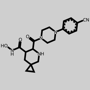 N#Cc1ccc(N2CCN(C(=O)C3NCC4(CC4)CC3C(=O)NO)CC2)cc1